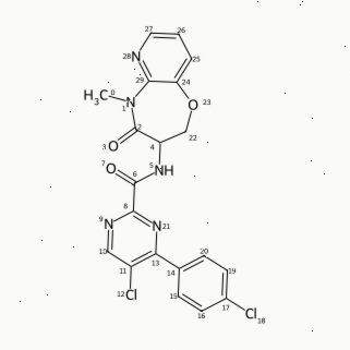 CN1C(=O)C(NC(=O)c2ncc(Cl)c(-c3ccc(Cl)cc3)n2)COc2cccnc21